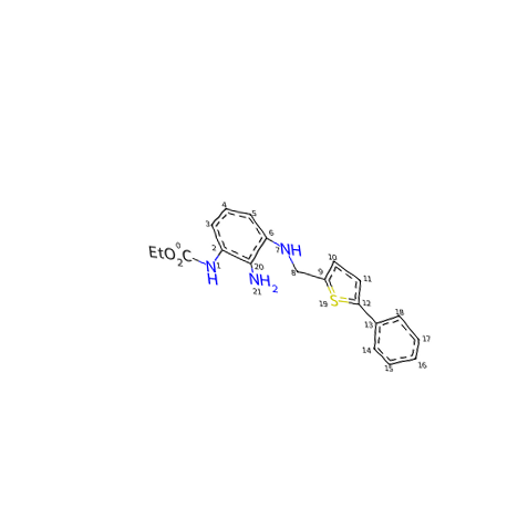 CCOC(=O)Nc1cccc(NCc2ccc(-c3ccccc3)s2)c1N